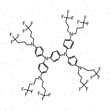 FC(F)(F)CCCN(CCCC(F)(F)F)c1ccc(N(c2ccc(N(CCCC(F)(F)F)CCCC(F)(F)F)cc2)c2ccc(N(c3ccc(N(CCCC(F)(F)F)CCCC(F)(F)F)cc3)c3ccc(N(CCCC(F)(F)F)CCCC(F)(F)F)cc3)cc2)cc1